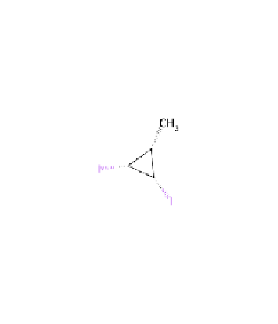 C[C@H]1[C@@H](I)[C@H]1I